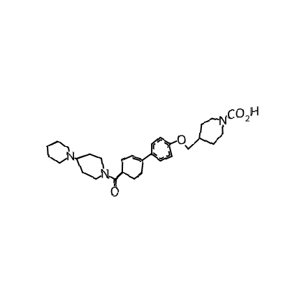 O=C(O)N1CCC(COc2ccc(C3=CCC(C(=O)N4CCC(N5CCCCC5)CC4)CC3)cc2)CC1